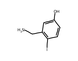 Oc1ccc(I)c(C[SiH3])c1